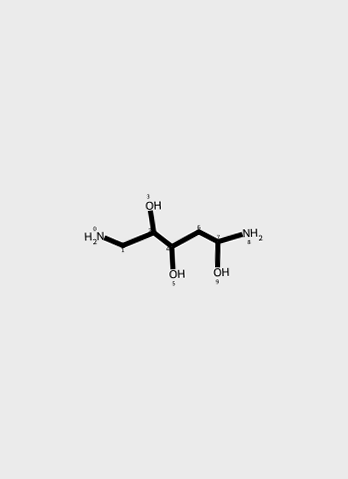 NCC(O)C(O)CC(N)O